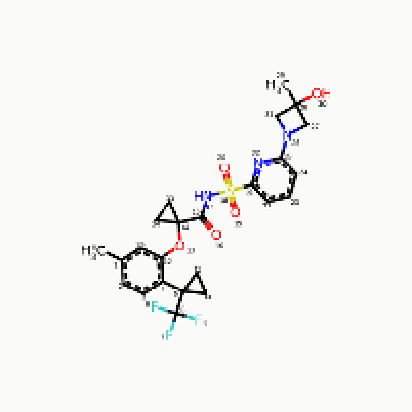 Cc1ccc(C2(C(F)(F)F)CC2)c(OC2(C(=O)NS(=O)(=O)c3cccc(N4CC(C)(O)C4)n3)CC2)c1